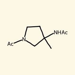 CC(=O)NC1(C)CCN(C(C)=O)C1